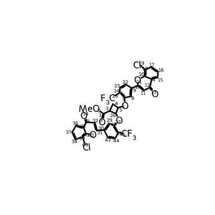 COC(=O)C1CC(Oc2cc(-c3cc(=O)c4cccc(Cl)c4o3)ccc2C(F)(F)F)C1Oc1cc(-c2cc(=O)c3cccc(Cl)c3o2)ccc1C(F)(F)F